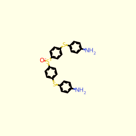 Nc1ccc(Sc2ccc([S+]([O-])c3ccc(Sc4ccc(N)cc4)cc3)cc2)cc1